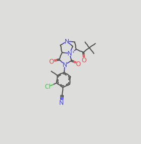 Cc1c(N2C(=O)C3CN4CC(C(=O)C(C)(C)C)[N+]3(C4)C2=O)ccc(C#N)c1Cl